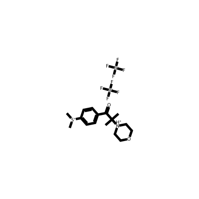 C[S+](C)c1ccc(C(=O)C(C)(C)[NH+]2CCOCC2)cc1.F[B-](F)(F)F.F[B-](F)(F)F